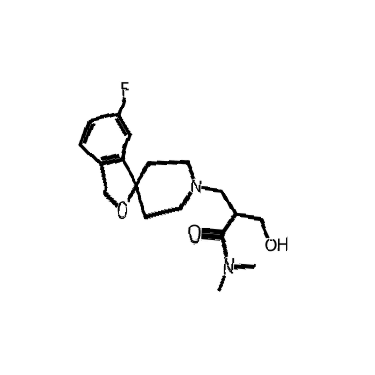 CN(C)C(=O)C(CO)CN1CCC2(CC1)OCc1ccc(F)cc12